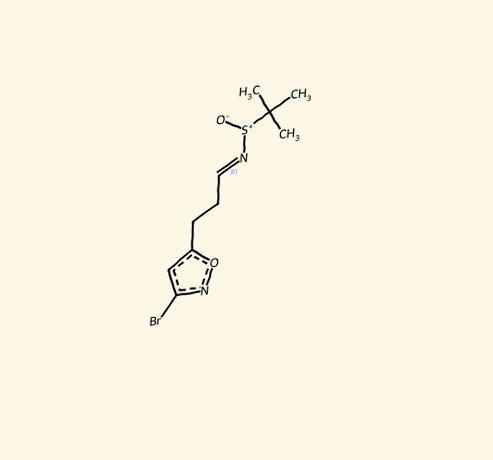 CC(C)(C)[S+]([O-])/N=C/CCc1cc(Br)no1